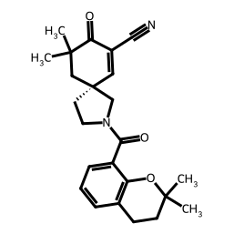 CC1(C)CCc2cccc(C(=O)N3CC[C@]4(C=C(C#N)C(=O)C(C)(C)C4)C3)c2O1